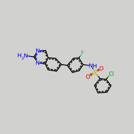 Nc1ncc2cc(-c3ccc(NS(=O)(=O)c4ccccc4Cl)c(F)c3)ccc2n1